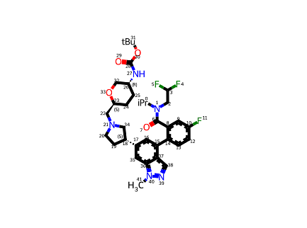 CC(C)N(CC(F)F)C(=O)c1cc(F)ccc1-c1cc([C@@H]2CCN(C[C@@H]3CC[C@@H](NC(=O)OC(C)(C)C)CO3)C2)cc2c1cnn2C